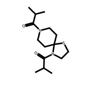 CC(C)C(=O)N1CCC2(CC1)SCCN2C(=O)C(C)C